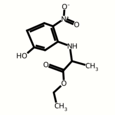 CCOC(=O)C(C)Nc1cc(O)ccc1[N+](=O)[O-]